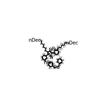 CCCCCCCCCCCCCCCCC1=C(c2cccc(CCCC)c2)[N+](=[N-])C(c2cccc(CCCCCCCCCCCCCCC)c2)=C1CCCC.c1ccc([CH2][Pd][CH2]c2ccccc2)cc1